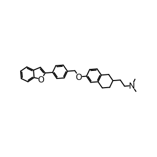 CN(C)CCC1CCc2cc(OCc3ccc(-c4cc5ccccc5o4)cc3)ccc2C1